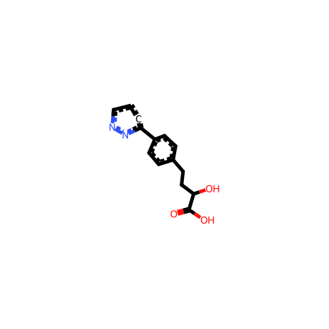 O=C(O)C(O)CCc1ccc(-c2cccnn2)cc1